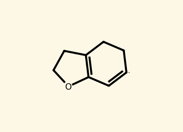 [C]1=CC2=C(CC1)CCO2